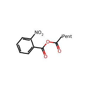 CCCC(C)C(=O)OC(=O)c1ccccc1[N+](=O)[O-]